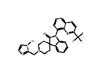 Cn1ccnc1CN1CCC2(CC1)C(=O)N(c1cccc3ccc(C(F)(F)F)nc13)c1ccccc12